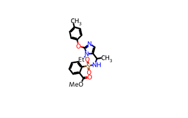 CCn1c(C(C)NS(=O)(=O)c2ccccc2C(=O)OC)cnc1Oc1ccc(C)cc1